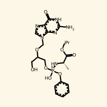 CC(C)OC(=O)[C@H](C)N[PH](O)(OCC(CO)OCn1cnc2c(=O)[nH]c(N)nc21)Oc1ccccc1